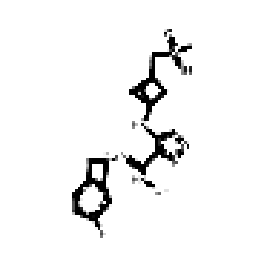 CS(=N)(=O)CC12CC(Nc3nonc3C(=N[C@H]3Cc4ccc(F)cc43)NO)(C1)C2